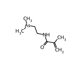 C=C(C)C(=O)NCC[As](C)C